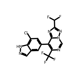 FC(F)c1nc2c(-c3cc(Cl)c4[nH]ncc4c3)c(C(F)(F)F)ncn2n1